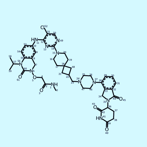 CNC(=O)CON1Cc2cc(Nc3nc(N4CCC5(CC4)CC(CN4CCN(c6cccc7c6CN(C6CCC(=O)NC6=O)C7=O)CC4)C5)ncc3Cl)ccc2N(C(C)C)C1=O